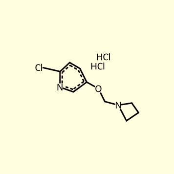 Cl.Cl.Clc1ccc(OCN2CCC2)cn1